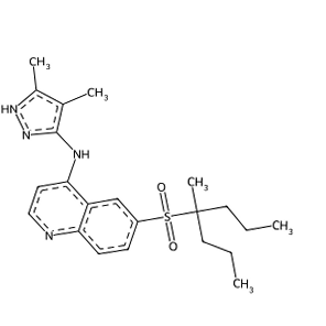 CCCC(C)(CCC)S(=O)(=O)c1ccc2nccc(Nc3n[nH]c(C)c3C)c2c1